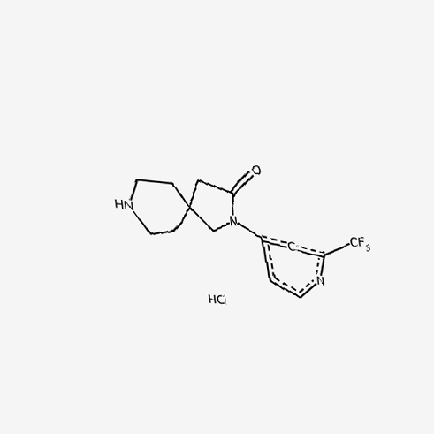 Cl.O=C1CC2(CCNCC2)CN1c1ccnc(C(F)(F)F)c1